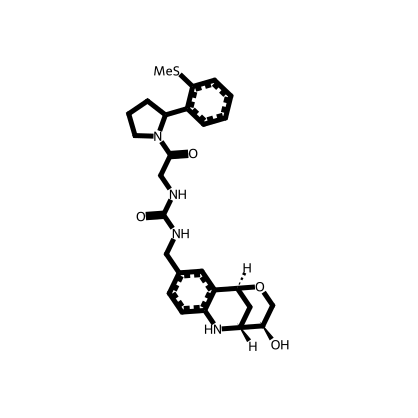 CSc1ccccc1C1CCCN1C(=O)CNC(=O)NCc1ccc2c(c1)[C@@H]1C[C@@H](N2)[C@H](O)CO1